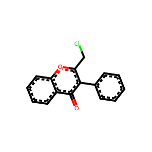 O=c1c(-c2ccccc2)c(CCl)oc2ccccc12